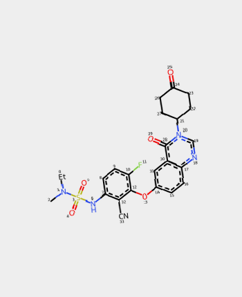 CCN(C)S(=O)(=O)Nc1ccc(F)c(Oc2ccc3ncn(C4CCC(=O)CC4)c(=O)c3c2)c1C#N